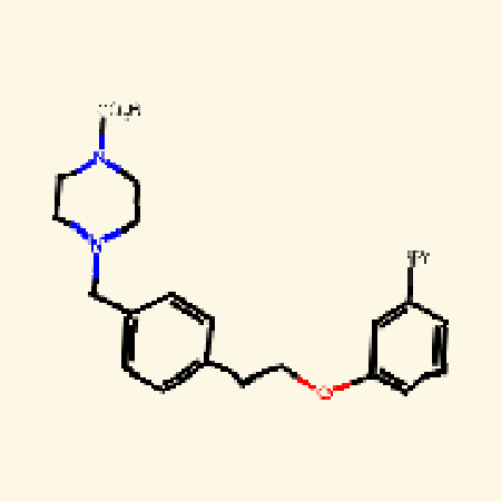 CC(C)c1cccc(OCCc2ccc(CN3CCN(C(=O)O)CC3)cc2)c1